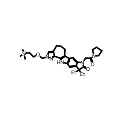 CCC1(CC)C(=O)N(CC(=O)N2CCCC2)c2cc3c4c([nH]c3cc21)-c1nn(COCC[Si](C)(C)C)cc1CCC4